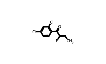 CCC(F)C(=O)c1ccc(Cl)cc1Cl